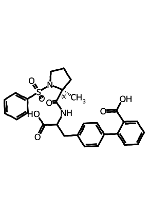 C[C@@]1(C(=O)NC(Cc2ccc(-c3ccccc3C(=O)O)cc2)C(=O)O)CCCN1S(=O)(=O)c1ccccc1